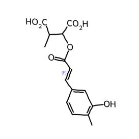 Cc1ccc(/C=C/C(=O)OC(C(=O)O)C(C)C(=O)O)cc1O